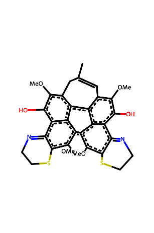 COc1c(O)c2c3c(c(OC)c4c5c(OC)c6c(c7c(O)c(OC)c8c(c(c1C=C(C)C8)c24)c75)=NCCS6)SCCN=3